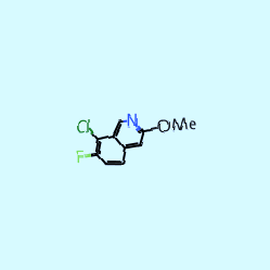 COc1cc2ccc(F)c(Cl)c2cn1